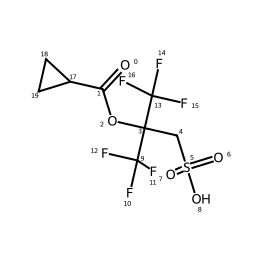 O=C(OC(CS(=O)(=O)O)(C(F)(F)F)C(F)(F)F)C1CC1